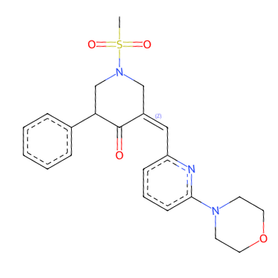 CS(=O)(=O)N1C/C(=C/c2cccc(N3CCOCC3)n2)C(=O)C(c2ccccc2)C1